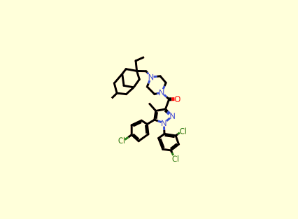 CCC1(CN2CCN(C(=O)c3nn(-c4ccc(Cl)cc4Cl)c(-c4ccc(Cl)cc4)c3C)CC2)CC2CC(C)CC(C2)C1